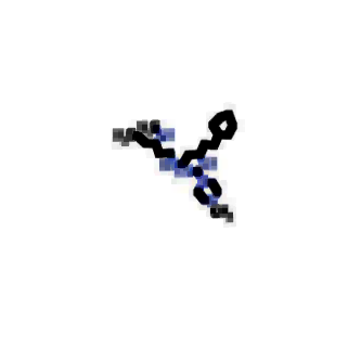 CCCC(CCNC1CC(CCC2CCCCC2)NC(N2CCN(C)CC2)N1)NC